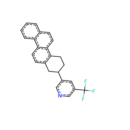 FC(F)(F)c1cncc(C2CCc3c(ccc4c3ccc3ccccc34)C2)c1